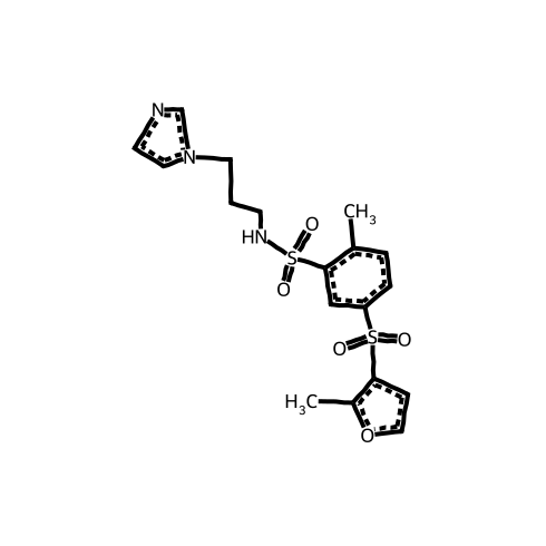 Cc1ccc(S(=O)(=O)c2ccoc2C)cc1S(=O)(=O)NCCCn1ccnc1